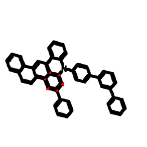 c1ccc(-c2cccc(-c3ccc(N(c4cccc(-c5ccccc5)c4)c4ccccc4-c4cc5c6ccccc6ccc5c5ccccc45)cc3)c2)cc1